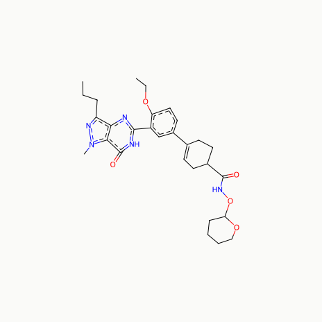 CCCc1nn(C)c2c(=O)[nH]c(-c3cc(C4=CCC(C(=O)NOC5CCCCO5)CC4)ccc3OCC)nc12